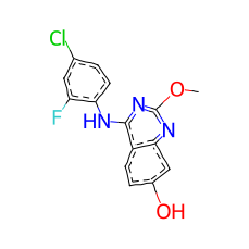 COc1nc(Nc2ccc(Cl)cc2F)c2ccc(O)cc2n1